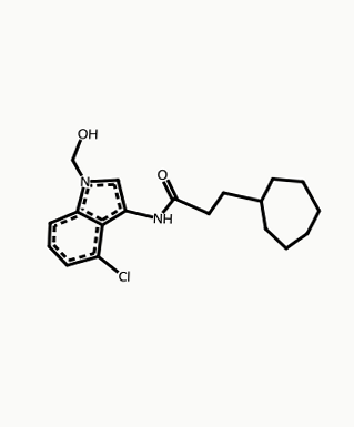 O=C(CCC1CCCCCC1)Nc1cn(CO)c2cccc(Cl)c12